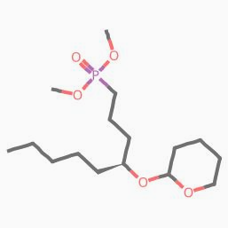 CCCCC[C@@H](CCCP(=O)(OC)OC)OC1CCCCO1